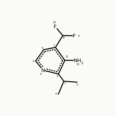 CC(C)c1nccc(C(F)F)c1N